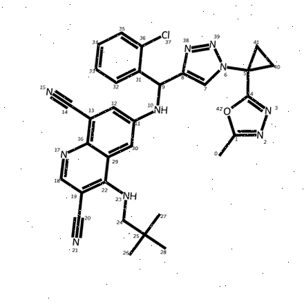 Cc1nnc(C2(n3cc(C(Nc4cc(C#N)c5ncc(C#N)c(NCC(C)(C)C)c5c4)c4ccccc4Cl)nn3)CC2)o1